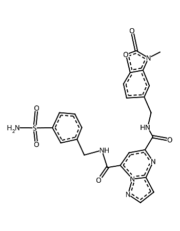 Cn1c(=O)oc2ccc(CNC(=O)c3cc(C(=O)NCc4cccc(S(N)(=O)=O)c4)n4nccc4n3)cc21